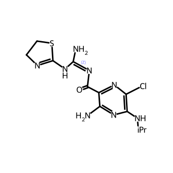 CC(C)Nc1nc(N)c(C(=O)/N=C(/N)NC2=NCCS2)nc1Cl